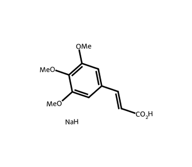 COc1cc(C=CC(=O)O)cc(OC)c1OC.[NaH]